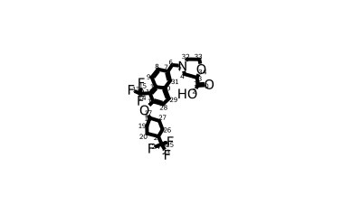 O=C(O)C1CN(Cc2ccc3c(C(F)(F)F)c(OC4CCC(C(F)(F)F)CC4)ccc3c2)CCO1